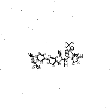 CC(C)(C)OC(=O)N1C[C@@H]2CC[C@]1(C(=O)N[C@H](C#N)Cc1ccc(-c3ccc(C#N)c(S(C)(=O)=O)c3)cc1)C2